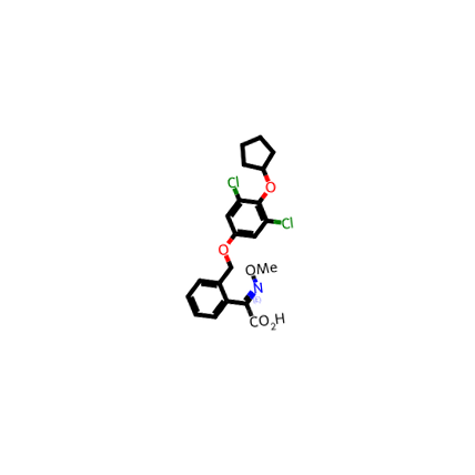 CO/N=C(/C(=O)O)c1ccccc1COc1cc(Cl)c(OC2CCCC2)c(Cl)c1